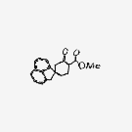 COC(=O)C1CCC2(CC1=O)Cc1cccc3cccc2c13